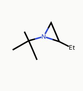 CCC1CN1C(C)(C)C